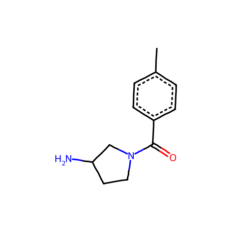 Cc1ccc(C(=O)N2CCC(N)C2)cc1